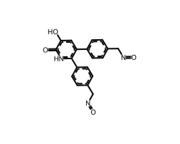 O=NCc1ccc(-c2cc(O)c(=O)[nH]c2-c2ccc(CN=O)cc2)cc1